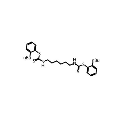 CCCCc1ccccc1SC(=S)NCCCCCCNC(=S)Sc1ccccc1CCCC